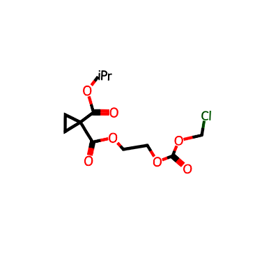 CC(C)OC(=O)C1(C(=O)OCCOC(=O)OCCl)CC1